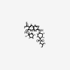 CC(C)CS(=O)(=O)N1CCC(Nc2ncc3cc(C(F)F)c(=O)n([C@@H]4CCC[C@@]4(C)O)c3n2)CC1